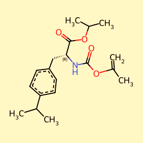 C=C(C)OC(=O)N[C@H](Cc1ccc(C(C)C)cc1)C(=O)OC(C)C